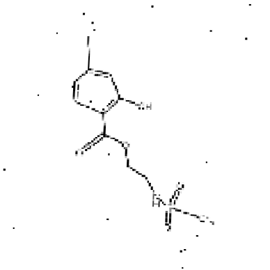 O=C(OCCNS(=O)(=O)C(F)(F)F)c1ccc(I)cc1O